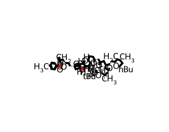 C=C(Br)C[C@@H](CC[C@@]12C[C@H]3O[C@H]4[C@@H](O1)[C@H]1O[C@@H](CC(=O)CC5[C@H](CC6O[C@@H](CCCC)C[C@@H](C)C6=C)O[C@H](C[C@H](C)CO[Si](C)(C)C(C)(C)C)[C@@H]5C)CC[C@@H]1O[C@H]4[C@H]3O2)OS(=O)(=O)c1ccc(C)cc1